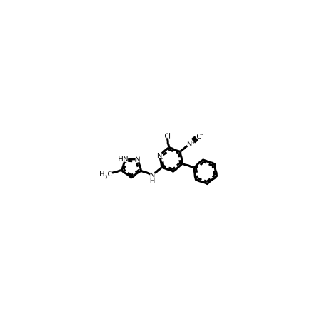 [C-]#[N+]c1c(-c2ccccc2)cc(Nc2cc(C)[nH]n2)nc1Cl